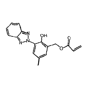 C=CC(=O)OCc1cc(C)cc(-n2nc3ccccc3n2)c1O